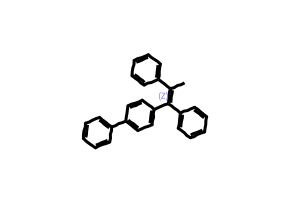 C/C(=C(\c1ccccc1)c1ccc(-c2ccccc2)cc1)c1ccccc1